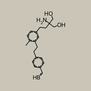 B=Cc1ccc(CCc2cc(CCC(N)(CO)CO)ccc2C)cc1